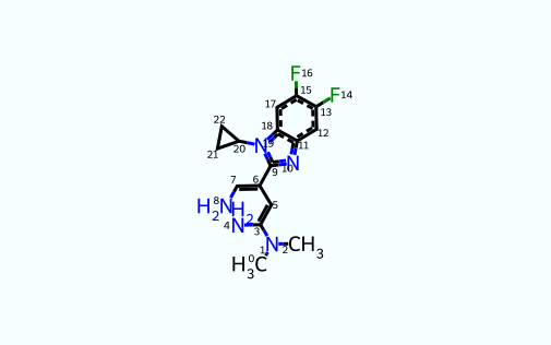 CN(C)/C(N)=C/C(=C\N)c1nc2cc(F)c(F)cc2n1C1CC1